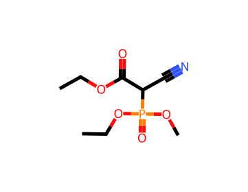 CCOC(=O)C(C#N)P(=O)(OC)OCC